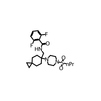 CCCS(=O)(=O)N1CCN(C2(CNC(=O)c3c(F)cccc3F)CCC3(CC3)CC2)CC1